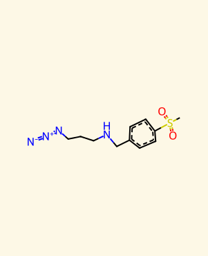 CS(=O)(=O)c1ccc(CNCCCN=[N+]=[N-])cc1